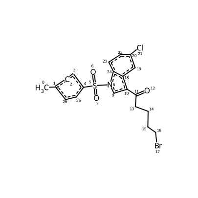 Cc1ccc(S(=O)(=O)n2cc(C(=O)CCCCBr)c3cc(Cl)ccc32)cc1